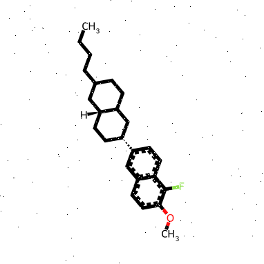 CCCCC1CCC2C[C@H](c3ccc4c(F)c(OC)ccc4c3)CC[C@@H]2C1